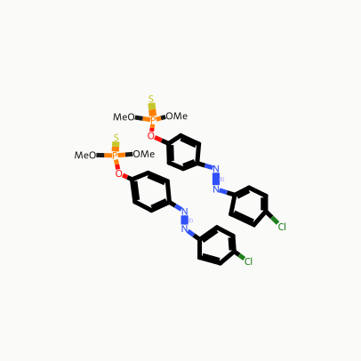 COP(=S)(OC)Oc1ccc(/N=N/c2ccc(Cl)cc2)cc1.COP(=S)(OC)Oc1ccc(/N=N/c2ccc(Cl)cc2)cc1